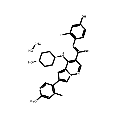 CCc1cc(O)ccc1N=C(N)c1cnn2cc(-c3cnc(OC)cc3C)cc2c1N[C@H]1CC[C@H](O)CC1.O=CO